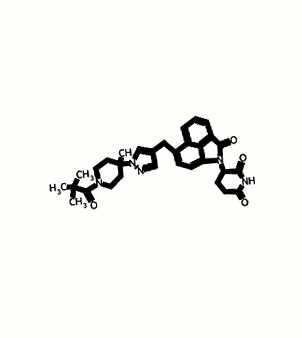 CC(C)(C)C(=O)N1CCC(C)(n2cc(Cc3ccc4c5c(cccc35)C(=O)N4C3CCC(=O)NC3=O)cn2)CC1